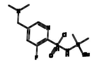 CN(C)Cc1cnc([SH](=O)(Cl)N[Si](C)(C)C(C)(C)C)c(F)c1